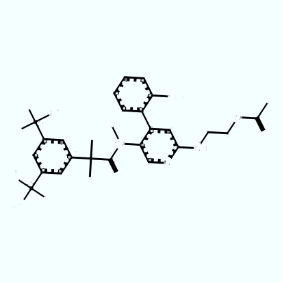 CC(=O)NCCNc1cc(-c2ccccc2Cl)c(N(C)C(=O)C(C)(C)c2cc(C(F)(F)F)cc(C(F)(F)F)c2)cn1